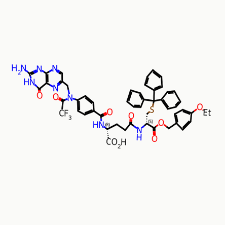 CCOc1ccc(COC(=O)[C@@H](CSC(c2ccccc2)(c2ccccc2)c2ccccc2)NC(=O)CC[C@@H](NC(=O)c2ccc(N(Cc3cnc4nc(N)[nH]c(=O)c4n3)C(=O)C(F)(F)F)cc2)C(=O)O)cc1